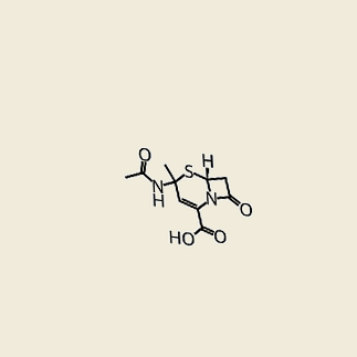 CC(=O)NC1(C)C=C(C(=O)O)N2C(=O)C[C@H]2S1